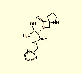 C[C@@H](O)[C@@H](C(=O)NCc1ncccn1)N1CC2(CCCN2)C1=O